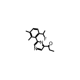 CCC(=O)c1cncc(-c2c(C(C)F)ccc(C)c2C)n1